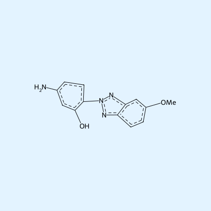 COc1ccc2nn(-c3ccc(N)cc3O)nc2c1